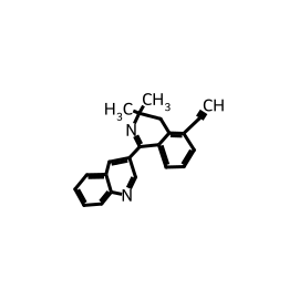 C#Cc1cccc2c1CC(C)(C)N=C2c1cnc2ccccc2c1